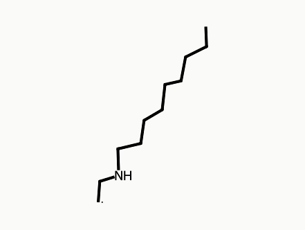 [CH2]CNCCCCCCCCC